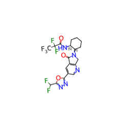 O=C1c2cc(-c3nnc(C(F)F)o3)cnc2CN1[C@@H]1CCCC[C@@H]1NC(=O)C(F)(F)C(F)(F)F